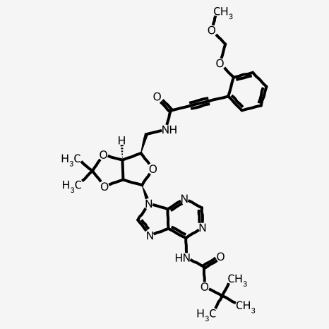 COCOc1ccccc1C#CC(=O)NC[C@H]1O[C@@H](n2cnc3c(NC(=O)OC(C)(C)C)ncnc32)C2OC(C)(C)O[C@H]21